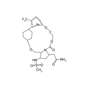 CS(=O)(=O)NC1CC(CC(N)=O)N2C(=O)OCCOc3ccc(C(F)(F)F)c(n3)C3CCC(CC3)OCC12